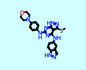 CSc1n[nH]c2nc(Nc3ccc(N4CCOCC4)cc3)nc(Nc3ccc4[nH]ncc4c3)c12